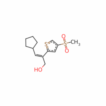 CS(=O)(=O)c1csc(/C(=C\C2CCCC2)CO)c1